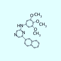 COc1cc(Nc2cncc(-c3ccc4ccccc4c3)n2)cc(OC)c1OC